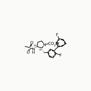 CCOC(=O)N1CC[C@@H](NS(C)(=O)=O)[C@H]1Cc1ccc(F)c(-c2cccc(F)c2)c1